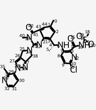 Cc1cc([C@@H](C)Nc2ccc(Cl)nc2C(=O)NS(C)(=O)=O)c2nc(N3Cc4cn(-c5cccnc5C)nc4C3)n(C)c(=O)c2c1